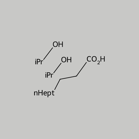 CC(C)O.CC(C)O.CCCCCCCCCC(=O)O